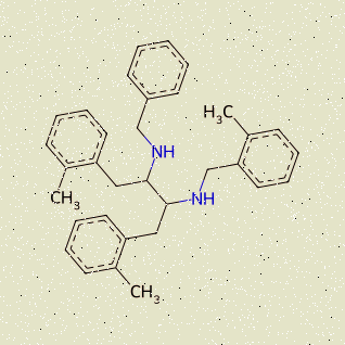 Cc1ccccc1CNC(Cc1ccccc1C)C(Cc1ccccc1C)NCc1ccccc1